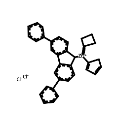 C1=CC[C]([Zr+2](=[C]2CCC2)[CH]2c3ccc(-c4ccccc4)cc3-c3cc(-c4ccccc4)ccc32)=C1.[Cl-].[Cl-]